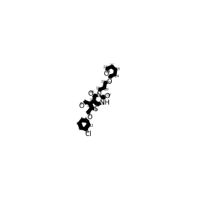 O=Cc1c(COc2cccc(Cl)c2)sc2[nH]c(=O)n(CCCOC3CCCCO3)c(=O)c12